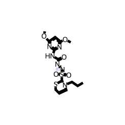 CCCN1C=CCSC1S(=O)(=O)/N=N/C(=O)Nc1nc(OC)cc(OC)n1